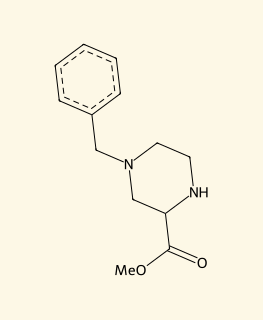 COC(=O)C1CN(Cc2ccccc2)CCN1